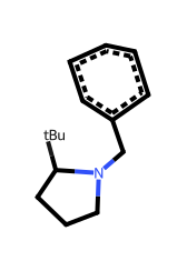 CC(C)(C)C1CCCN1Cc1ccccc1